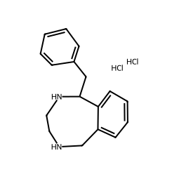 Cl.Cl.c1ccc(CC2NCCNCc3ccccc32)cc1